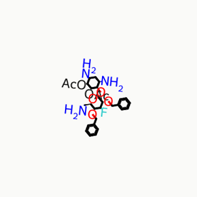 CC(=O)O[C@@H]1[C@@H](OC(C)=O)[C@H](N)C[C@H](N)[C@H]1O[C@H]1O[C@H](CN)[C@@H](OCc2ccccc2)[C@H](F)[C@H]1OCc1ccccc1